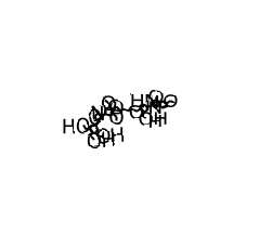 COc1ccc2c(c1)C(=O)NC(c1ccc(OCCCCOc3c(OC)cc(-c4cc(-c5cc(CO)c(CO)c(CO)c5)on4)cc3OC)c(CO)c1)N2